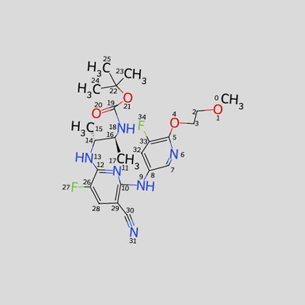 COCCOc1ncc(Nc2nc(N[C@H](C)[C@H](C)NC(=O)OC(C)(C)C)c(F)cc2C#N)cc1F